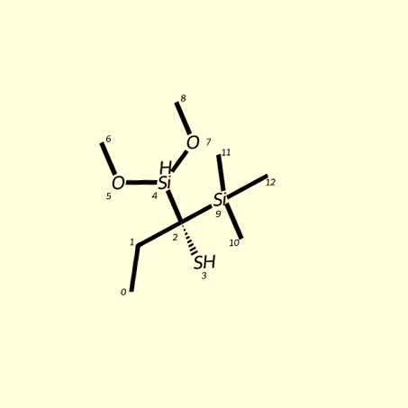 CC[C@@](S)([SiH](OC)OC)[Si](C)(C)C